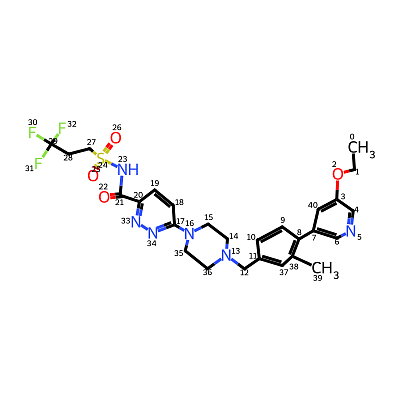 CCOc1cncc(-c2ccc(CN3CCN(c4ccc(C(=O)NS(=O)(=O)CCC(F)(F)F)nn4)CC3)cc2C)c1